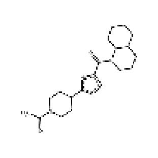 CC(=O)N1CCC(c2nc(C(=O)N3CCCC4CCCCC43)cs2)CC1